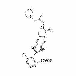 COc1nccc(Cl)c1-c1nc2cc3c(cc2[nH]1)C(=O)N(CC(C)CN1CCCC1)C3